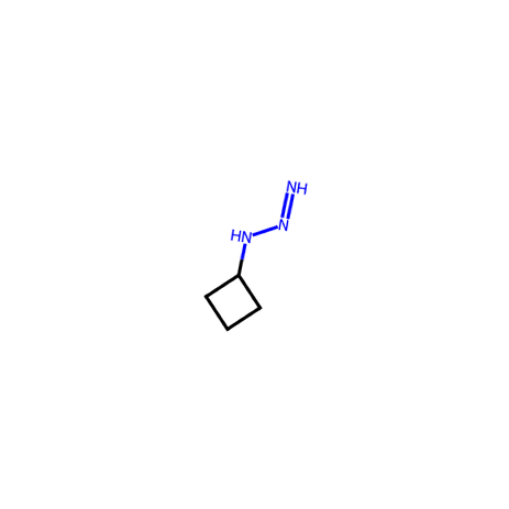 N=NNC1CCC1